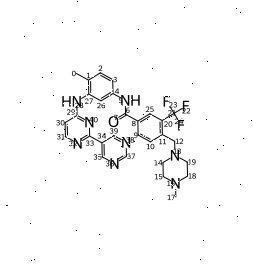 Cc1ccc(NC(=O)c2ccc(CN3CCN(C)CC3)c(C(F)(F)F)c2)cc1Nc1ccnc(-c2cncnc2)n1